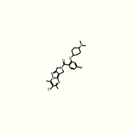 Cc1nc2c3c(nn2c(C)c1Cl)CN(C(=O)c1ccc(F)cc1OC1CCC(N(C)C)CC1)C3